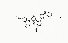 N#Cc1ccc2c(c1)c1ccccc1n2-c1cccc2c1sc1c(C#N)ccc(-c3ccc4sc5ccccc5c4c3)c12